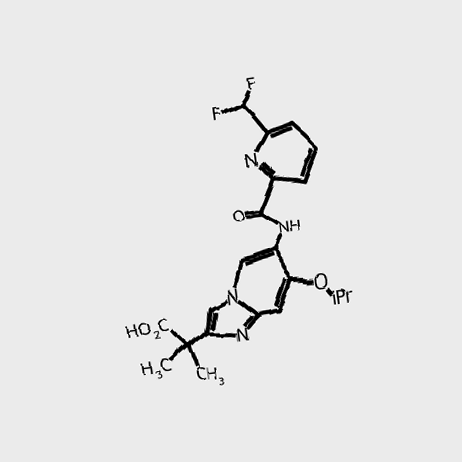 CC(C)Oc1cc2nc(C(C)(C)C(=O)O)cn2cc1NC(=O)c1cccc(C(F)F)n1